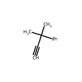 C#CC(C)(C)[C](C)C